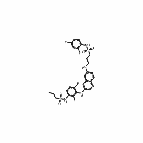 CCCS(=O)(=O)Nc1ccc(F)c(Nc2cnc3ccc(NCCCS(=O)(=O)Nc4ccc(F)cc4F)cc3n2)c1F